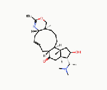 C[C@@H]([C@H]1[C@H](O)C[C@@]2(C)[C@@H]3CCC[C@]4(C)COC(C(C)(C)C)=N[C@H]4C/C=C/C[C@H]3C(=O)C[C@]12C)N(C)C